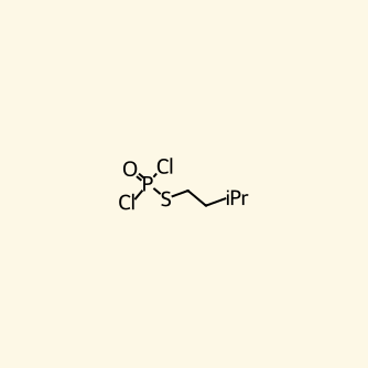 CC(C)CCSP(=O)(Cl)Cl